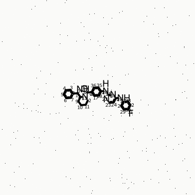 NC(c1ccccc1)C1CCCCN1C(=O)c1ccc(Nc2nccc(Nc3ccc(F)cc3)n2)cc1